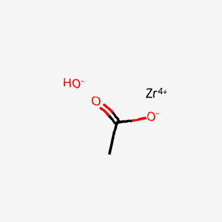 CC(=O)[O-].[OH-].[Zr+4]